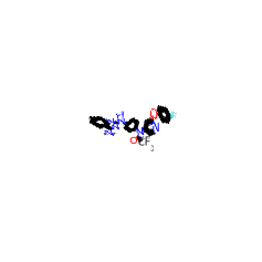 CN(C)c1nc(NC2CCC(N(C(=O)C(F)(F)F)c3ccnc(Oc4ccc(F)cc4)c3)CC2)nc2ccccc12